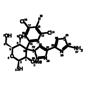 CO[C@H]1[C@@H](S)O[C@H](CO)[C@H](O)C1(c1cc(Cl)c(F)c(Cl)c1)n1cc(-c2csc(N)n2)nn1